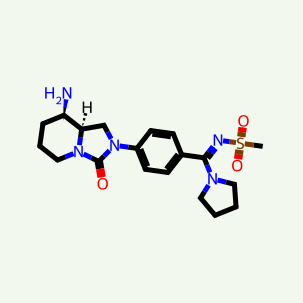 CS(=O)(=O)N=C(c1ccc(N2C[C@@H]3[C@H](N)CCCN3C2=O)cc1)N1CCCC1